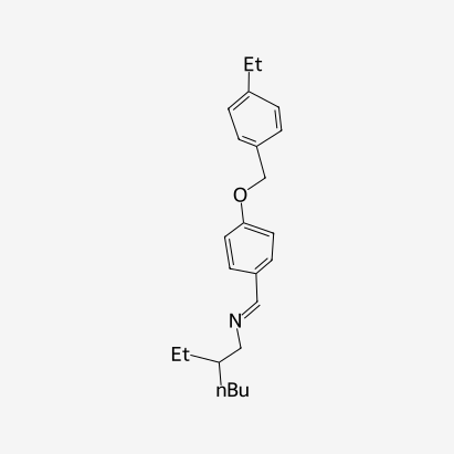 CCCCC(CC)CN=Cc1ccc(OCc2ccc(CC)cc2)cc1